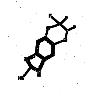 FC1Oc2cc3[nH]c(S)nc3cc2OC1(F)F